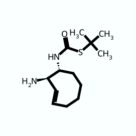 CC(C)(C)SC(=O)N[C@@H]1CCCC/C=C/[C@H]1N